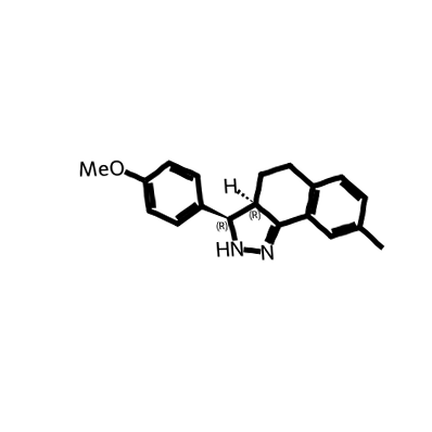 COc1ccc([C@@H]2NN=C3c4cc(C)ccc4CC[C@@H]32)cc1